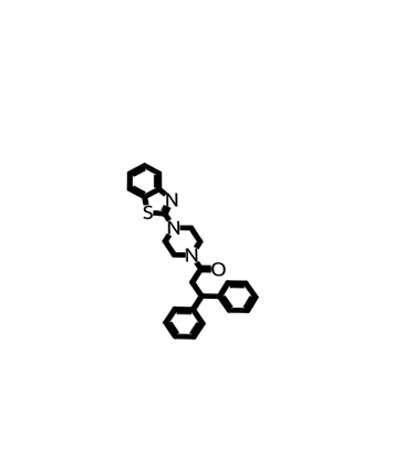 O=C(CC(c1ccccc1)c1ccccc1)N1CCN(c2nc3ccccc3s2)CC1